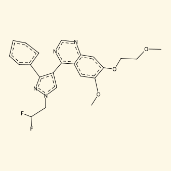 COCCOc1cc2ncnc(-c3cn(CC(F)F)nc3-c3ccccc3)c2cc1OC